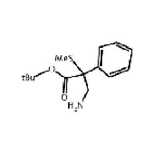 CSC(CN)(C(=O)OC(C)(C)C)c1ccccc1